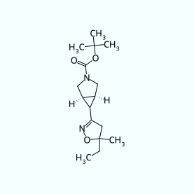 CCC1(C)CC(C2[C@H]3CN(C(=O)OC(C)(C)C)C[C@@H]23)=NO1